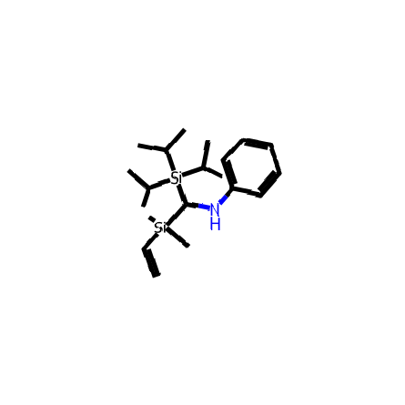 C=C[Si](C)(C)C(Nc1ccccc1)[Si](C(C)C)(C(C)C)C(C)C